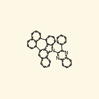 c1ccc(-c2nc3ccccc3nc2-n2c3cccc4c3c3c(cc5ccccc5c32)-c2cccc3cccc-4c23)cc1